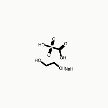 O=C(O)S(=O)(=O)O.OCCO.[NaH]